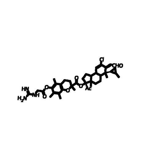 CC(=O)[C@@]1(OC(=O)C2(C)CCc3c(C)c(OC(=O)CNC(=N)N)c(C)c(C)c3O2)CCC2C3C=C(Cl)/C(=C/C=O)C(C)([C@H]4CC4C)C3CCC21C